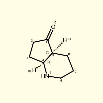 O=C1CC[C@@H]2NCCC[C@H]12